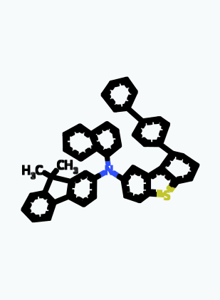 CC1(C)c2ccccc2-c2ccc(N(c3ccc4sc5cccc(-c6ccc(-c7ccccc7)cc6)c5c4c3)c3cccc4ccccc34)cc21